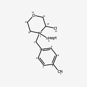 CCCCCCC[N+]1(Cc2ccc(C#N)cc2)CCOCC1Cl